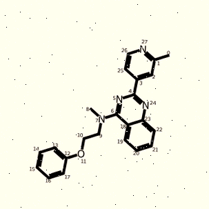 Cc1cc(-c2nc(N(C)CCOc3ccccc3)c3ccccc3n2)ccn1